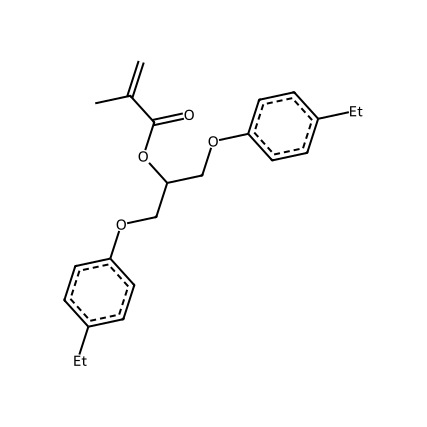 C=C(C)C(=O)OC(COc1ccc(CC)cc1)COc1ccc(CC)cc1